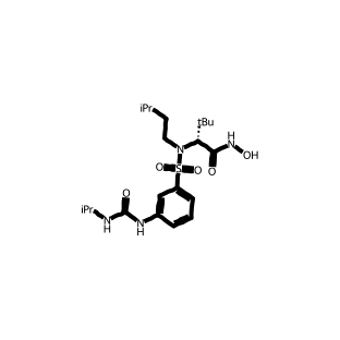 CC(C)CCN([C@@H](C(=O)NO)C(C)(C)C)S(=O)(=O)c1cccc(NC(=O)NC(C)C)c1